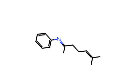 CC(C)=CCC/C(C)=N/c1ccccc1